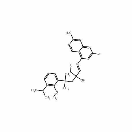 COc1c(C(C)C)cccc1C(C)(C)CC(O)(C=Nc1cc(F)cc2nc(C)ncc12)CF